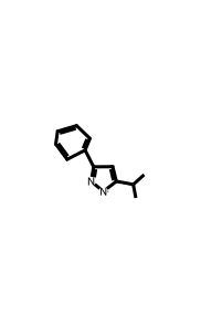 CC(C)C1=CC(c2ccccc2)=N[N]1